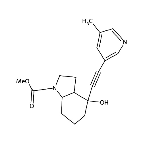 COC(=O)N1CCC2C1CCCC2(O)C#Cc1cncc(C)c1